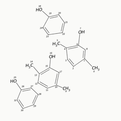 Cc1ccc(C)c(O)c1.Cc1ccc(C)c(O)c1.Oc1ccccc1.Oc1ccccc1